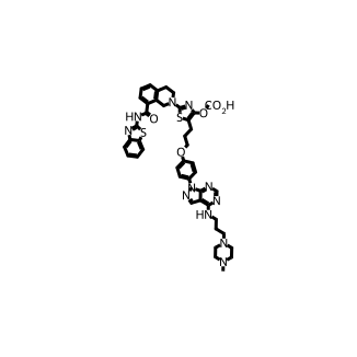 CN1CCN(CCCNc2ncnc3c2cnn3-c2ccc(OCCCc3sc(N4CCc5cccc(C(=O)Nc6nc7ccccc7s6)c5C4)nc3OC(=O)O)cc2)CC1